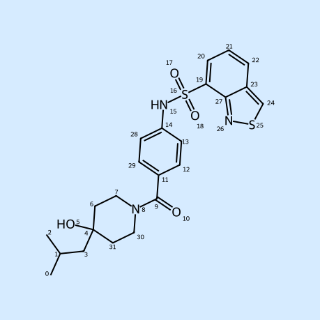 CC(C)CC1(O)CCN(C(=O)c2ccc(NS(=O)(=O)c3cccc4csnc34)cc2)CC1